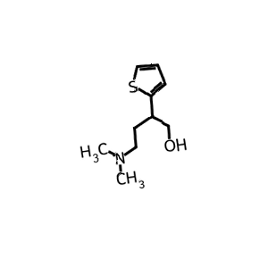 CN(C)CCC(CO)c1cccs1